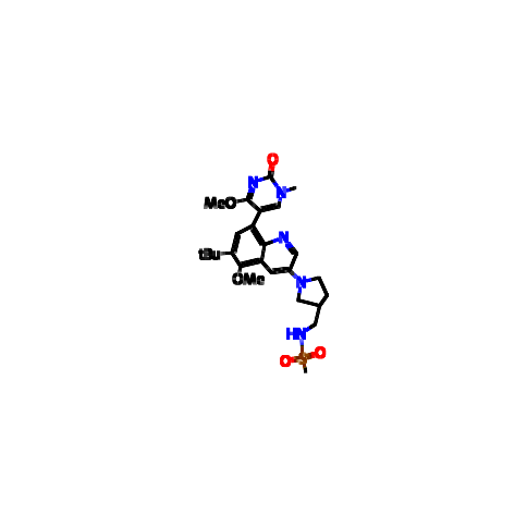 COc1nc(=O)n(C)cc1-c1cc(C(C)(C)C)c(OC)c2cc(N3CCC(CNS(C)(=O)=O)C3)cnc12